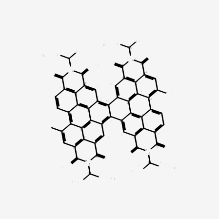 CCCCCC(CCCCC)n1c(=O)c2ccc3c4c(C)cc5c(=O)n(C(CCCCC)CCCCC)c(=O)c6cc7c8c9cc%10c(=O)n(C(CCCCC)CCCCC)c(=O)c%11ccc%12c%13c(Br)cc%14c(=O)n(C(CCCCC)CCCCC)c(=O)c%15cc(c8c8cc(c1=O)c2c3c8c7c4c56)c(c9c%12c%11%10)c%13c%14%15